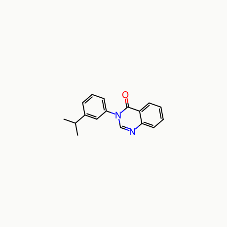 CC(C)c1cccc(-n2cnc3ccccc3c2=O)c1